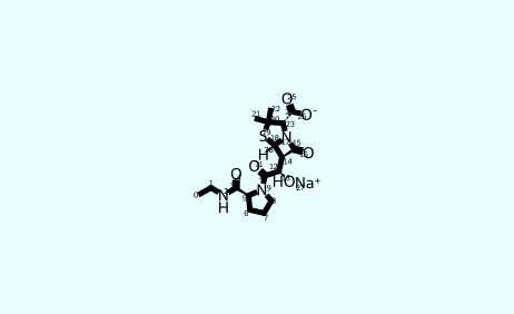 CCNC(=O)[C@@H]1CCCN1C(=O)[C@@H](O)[C@@H]1C(=O)N2[C@@H]1SC(C)(C)[C@@H]2C(=O)[O-].[Na+]